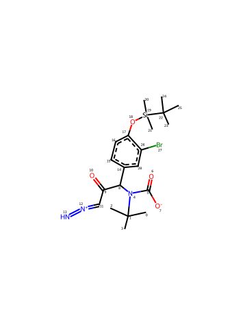 CC(C)(C)N(C(=O)[O-])C(C(=O)C=[N+]=N)c1ccc(O[Si](C)(C)C(C)(C)C)c(Br)c1